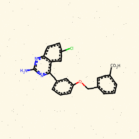 Nc1nc(-c2cccc(OCc3cccc(C(=O)O)c3)c2)c2cc(Cl)ccc2n1